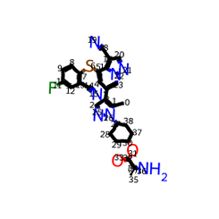 Cc1c(-c2cc(Sc3ccc(F)cc3C#N)c3c(C#N)cnn3c2)cnn1C1CCC(OC(=O)[C@H](C)N)CC1